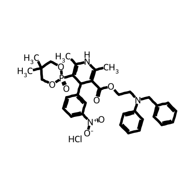 CC1=C(C(=O)OCCN(Cc2ccccc2)c2ccccc2)C(c2cccc([N+](=O)[O-])c2)C(P2(=O)OCC(C)(C)CO2)=C(C)N1.Cl